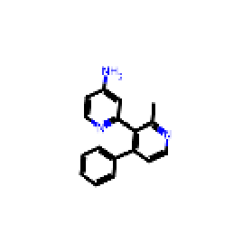 Cc1nccc(-c2ccccc2)c1-c1cc(N)ccn1